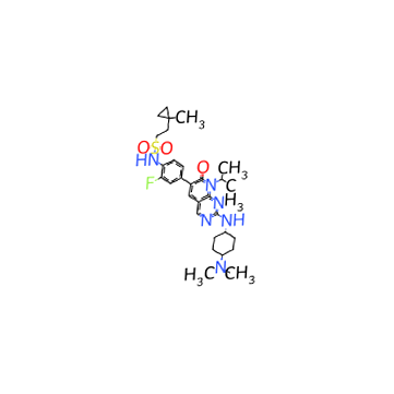 CC(C)n1c(=O)c(-c2ccc(NS(=O)(=O)CCC3(C)CC3)c(F)c2)cc2cnc(N[C@H]3CC[C@H](N(C)C)CC3)nc21